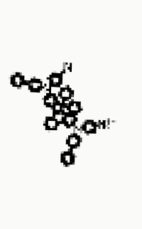 [C-]#[N+]c1ccc(N(c2ccc(-c3ccccc3)cc2)c2ccc3c4c(c5ccccc5c3c2)-c2ccc(N(c3ccc(C#N)cc3)c3ccc(-c5ccccc5)cc3)cc2C4(c2ccccc2)c2ccccc2)cc1